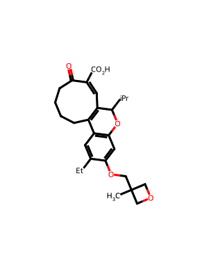 CCc1cc2c(cc1OCC1(C)COC1)OC(C(C)C)C1=C2CCCCC(=O)/C(C(=O)O)=C\1